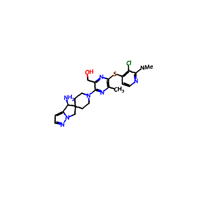 CNc1nccc(Sc2nc(CO)c(N3CCC4(CC3)Cn3nccc3[C@H]4N)nc2C)c1Cl